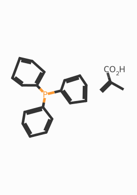 C=C(C)C(=O)O.c1ccc(P(c2ccccc2)c2ccccc2)cc1